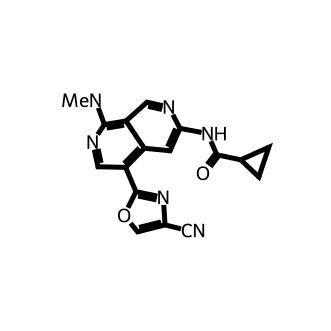 CNc1ncc(-c2nc(C#N)co2)c2cc(NC(=O)C3CC3)ncc12